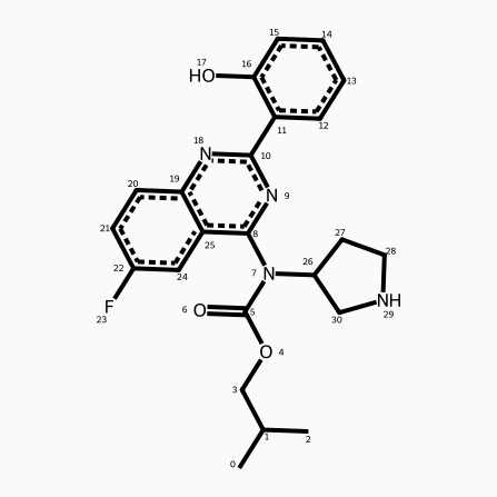 CC(C)COC(=O)N(c1nc(-c2ccccc2O)nc2ccc(F)cc12)C1CCNC1